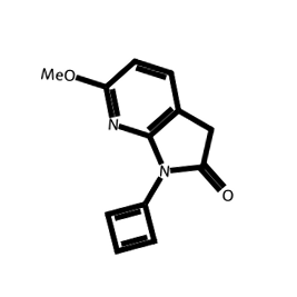 COc1ccc2c(n1)N(C1=CC=C1)C(=O)C2